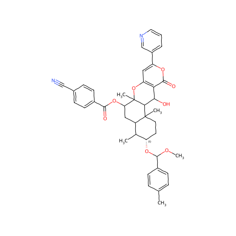 COC(O[C@H]1CCC2(C)C(CC(OC(=O)c3ccc(C#N)cc3)C3(C)Oc4cc(-c5cccnc5)oc(=O)c4C(O)C23)C1C)c1ccc(C)cc1